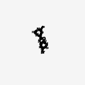 Cc1cc(-c2nc3cc(Br)cnc3o2)ncn1